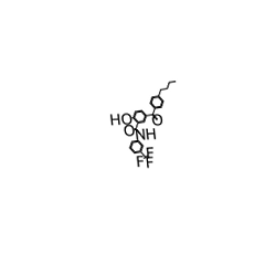 CCCCc1ccc(C(=O)c2ccc(O)c(C(=O)Nc3cccc(C(F)(F)F)c3)c2)cc1